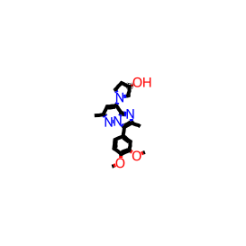 COc1ccc(-c2c(C)nc3c(N4CC[C@@H](O)C4)cc(C)nn23)cc1OC